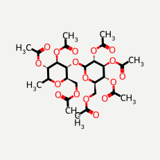 CC(=O)OC[C@H]1OC(C)[C@H](OC(C)=O)[C@@H](OC(C)=O)[C@@H]1OC1O[C@H](COC(C)=O)[C@@H](OC(C)=O)[C@H](OC(C)=O)[C@H]1OC(C)=O